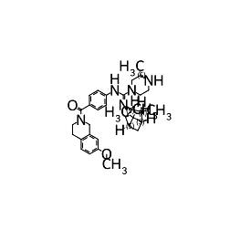 COc1ccc2c(c1)CN(C(=O)c1ccc(NC(=N[C@H]3C[C@@H]4C[C@@H]([C@H]3C)C4(C)C)N3CCN[C@@H](C)C3)cc1)CC2